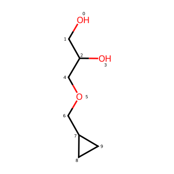 OCC(O)COCC1CC1